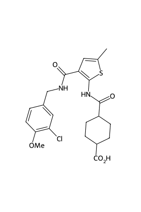 COc1ccc(CNC(=O)c2cc(C)sc2NC(=O)C2CCC(C(=O)O)CC2)cc1Cl